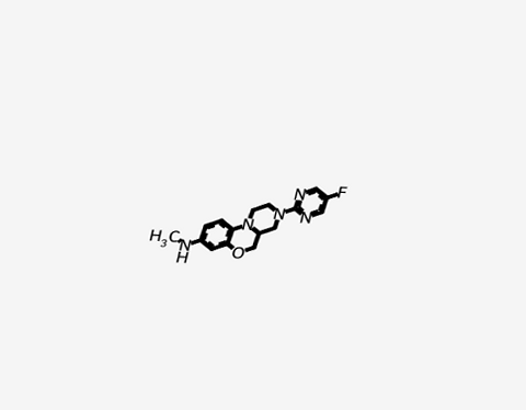 CNc1ccc2c(c1)OCC1CN(c3ncc(F)cn3)CCN21